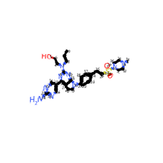 CCCN(CCO)c1nc(-c2cnc(N)nc2)c2c(n1)N(c1ccc(CCS(=O)(=O)N3CCN(C)CC3)cc1)CC2